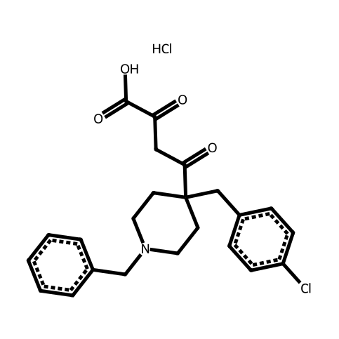 Cl.O=C(O)C(=O)CC(=O)C1(Cc2ccc(Cl)cc2)CCN(Cc2ccccc2)CC1